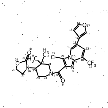 CC1(C)CN(C(=O)c2nc3c(C(F)(F)F)cc(-c4ccoc4)cn3c2Cl)CCC1N1CCOC1=O